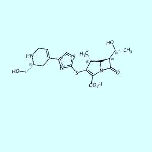 C[C@H]1C(Sc2nc(C3=CCN[C@@H](CO)C3)cs2)=C(C(=O)O)N2C(=O)[C@H]([C@@H](C)O)C12